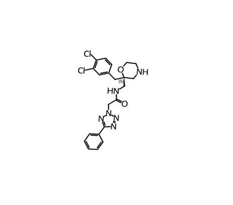 O=C(Cn1nnc(-c2ccccc2)n1)NC[C@]1(Cc2ccc(Cl)c(Cl)c2)CNCCO1